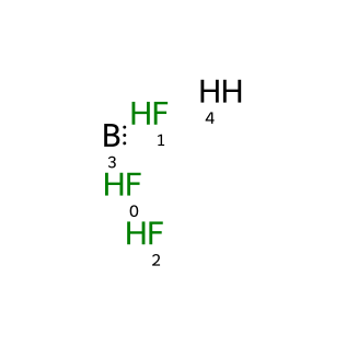 F.F.F.[B].[HH]